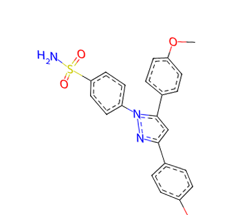 COc1ccc(-c2cc(-c3ccc(O)cc3)nn2-c2ccc(S(N)(=O)=O)cc2)cc1